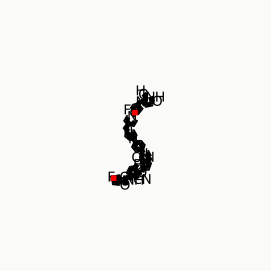 N#Cc1c(NS(=O)(=O)N2CC[C@@H](F)C2)ccc(F)c1Oc1ccc2ncn(-c3ccc(N4CCN(CC5CCN(c6ccc(NC7CCC(=O)NC7=O)cc6F)CC5)CC4)cc3)c(=O)c2c1